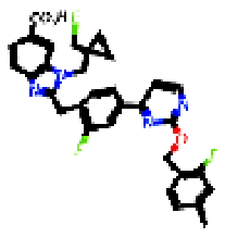 Cc1ccc(COc2nccc(-c3ccc(Cc4nc5ccc(C(=O)O)cc5n4CC4(CF)CC4)c(F)c3)n2)c(F)c1